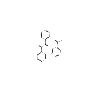 CC(=O)c1ccccc1.O=C(C(=O)c1ccccc1)c1ccccc1